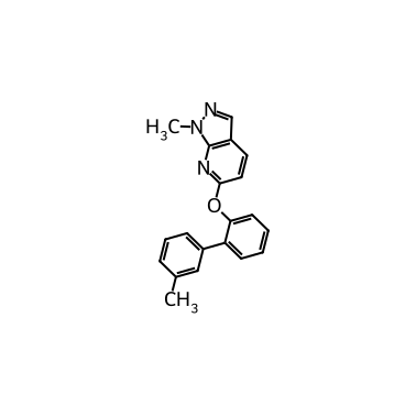 Cc1cccc(-c2ccccc2Oc2ccc3cnn(C)c3n2)c1